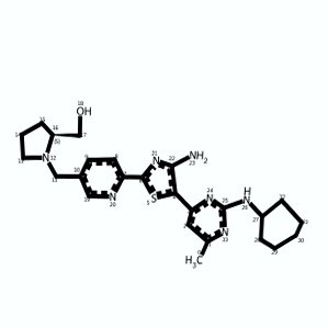 Cc1cc(-c2sc(-c3ccc(CN4CCC[C@H]4CO)cn3)nc2N)nc(NC2CCCCC2)n1